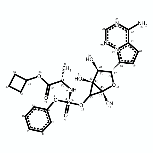 C[C@H](N[P@@](=O)(Oc1ccccc1)OC1[C@@]2(C#N)O[C@@H](c3ccc4c(N)ncnn34)[C@H](O)[C@@]12O)C(=O)OC1CCC1